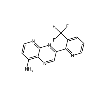 Nc1ccnc2nc(-c3ncccc3C(F)(F)F)cnc12